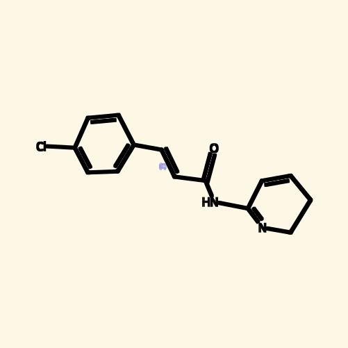 O=C(/C=C/c1ccc(Cl)cc1)NC1=NCCC=C1